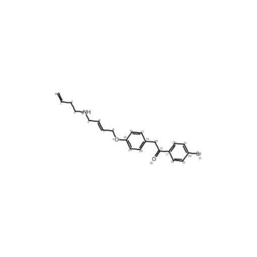 C=CCCNCC=CCOc1ccc(CC(=O)c2ccc(Br)cc2)cc1